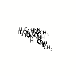 C=CC(=O)N1CCCC(Nc2nc(Nc3cnn(C(C)(C)C)c3)nc3[nH]nc(C)c23)C1